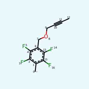 [CH2]c1c(F)c(F)c(COCC#CC)c(F)c1F